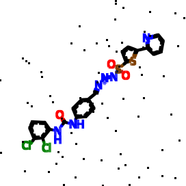 O=C(Nc1ccc(C#[N+]N=NS(=O)(=O)c2ccc(-c3ccccn3)s2)cc1)Nc1cccc(Cl)c1Cl